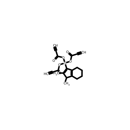 C#CC(=O)[O][Ti]([O]C(=O)C#C)([O]C(=O)C#C)[C]1=C(C)C(C)C2=C1CCCC2